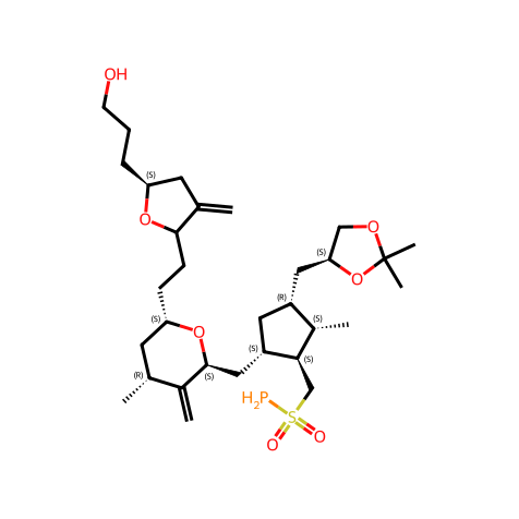 C=C1C[C@H](CCCO)OC1CC[C@H]1C[C@@H](C)C(=C)[C@H](C[C@@H]2C[C@H](C[C@H]3COC(C)(C)O3)[C@H](C)[C@H]2CS(=O)(=O)P)O1